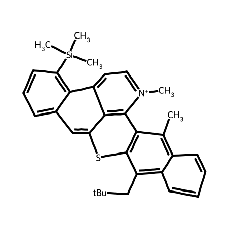 Cc1c2c(c(CC(C)(C)C)c3ccccc13)Sc1cc3cccc([Si](C)(C)C)c3c3cc[n+](C)c-2c13